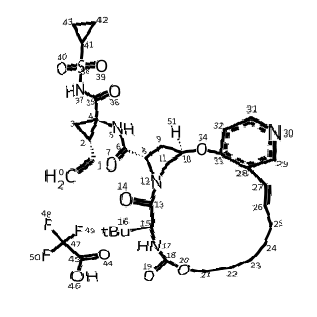 C=C[C@@H]1C[C@]1(NC(=O)[C@@H]1C[C@@H]2CN1C(=O)[C@H](C(C)(C)C)NC(=O)OCCCCC/C=C/c1cnccc1O2)C(=O)NS(=O)(=O)C1CC1.O=C(O)C(F)(F)F